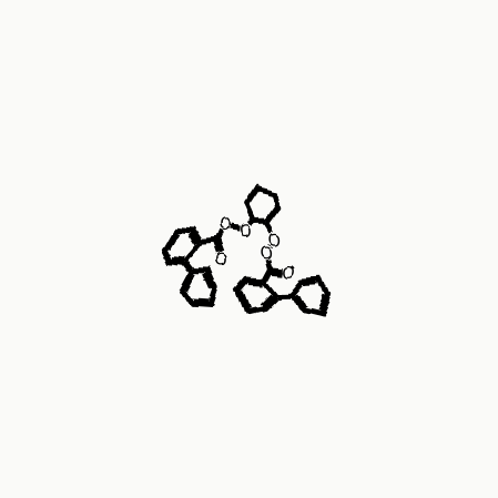 O=C(OO[C]1CC[CH]CC1OOC(=O)c1ccccc1-c1ccccc1)c1ccccc1-c1ccccc1